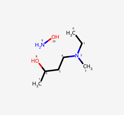 CCN(C)CCC(C)O.NO